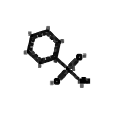 CCCCS(=O)(=O)c1[c]cccc1